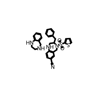 N#Cc1ccc2c(c1)CN(S(=O)(=O)c1cccs1)C(Cc1ccccc1)CN2.c1ccc2c(c1)CNCCN2